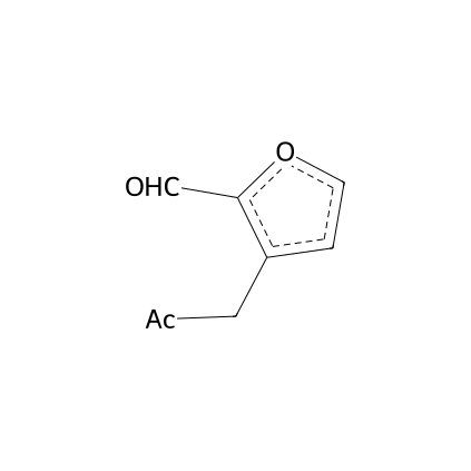 CC(=O)Cc1ccoc1C=O